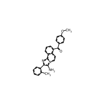 COc1ccc(C(=O)c2cccc3c2ccn2c(N)c(-c4ccccc4C)nc32)cc1